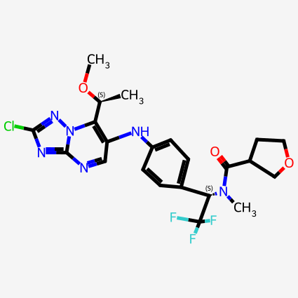 CO[C@@H](C)c1c(Nc2ccc([C@H](N(C)C(=O)C3CCOC3)C(F)(F)F)cc2)cnc2nc(Cl)nn12